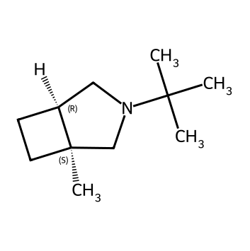 CC(C)(C)N1C[C@@H]2CC[C@]2(C)C1